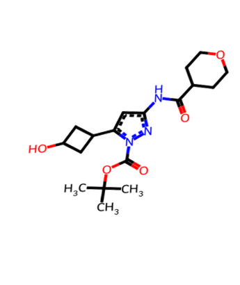 CC(C)(C)OC(=O)n1nc(NC(=O)C2CCOCC2)cc1C1CC(O)C1